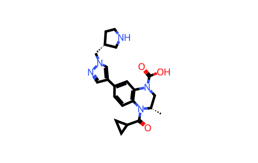 C[C@H]1CN(C(=O)O)c2cc(-c3cnn(C[C@@H]4CCNC4)c3)ccc2N1C(=O)C1CC1